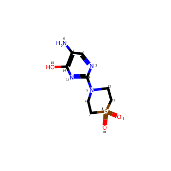 Nc1cnc(N2CCS(=O)(=O)CC2)nc1O